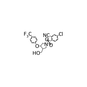 N#Cc1cc(Cl)ccc1S(=O)(=O)N1CC(CO)C(Oc2ccc(C(F)(F)F)cc2)C1